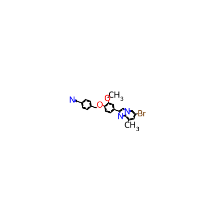 COc1cc(-c2cn3cc(Br)cc(C)c3n2)ccc1OCc1ccc(C#N)cc1